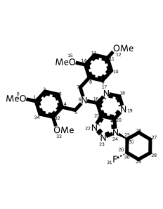 COc1ccc(CN(Cc2ccc(OC)cc2OC)c2ncnc3c2nnn3[C@H]2CCCC[C@@H]2F)c(OC)c1